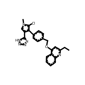 CCc1cc(OCc2ccc(-c3c(-c4nnn[nH]4)cn(C)c3Cl)cc2)c2ccccc2n1